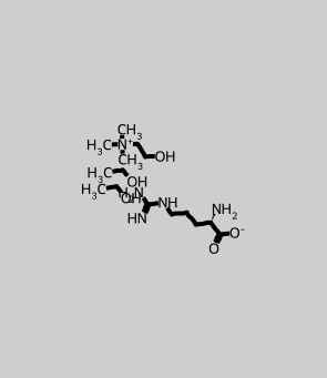 CCO.CCO.C[N+](C)(C)CCO.N=C(N)NCCC[C@H](N)C(=O)[O-]